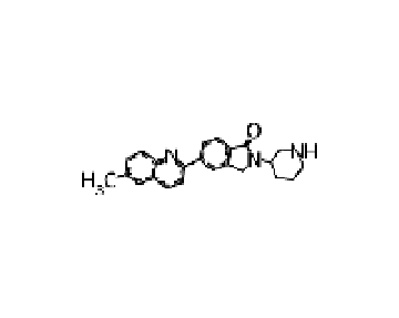 Cc1ccc2nc(-c3ccc4c(c3)CN(C3CCCNC3)C4=O)ccc2c1